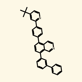 CC(C)(C)c1ccnc(-c2ccc(-c3ccc(-c4cccc(-c5ccccc5)c4)c4cnccc34)cc2)c1